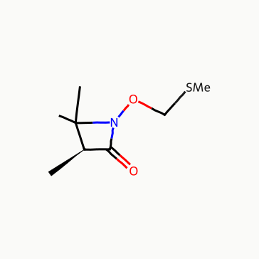 CSCON1C(=O)[C@@H](C)C1(C)C